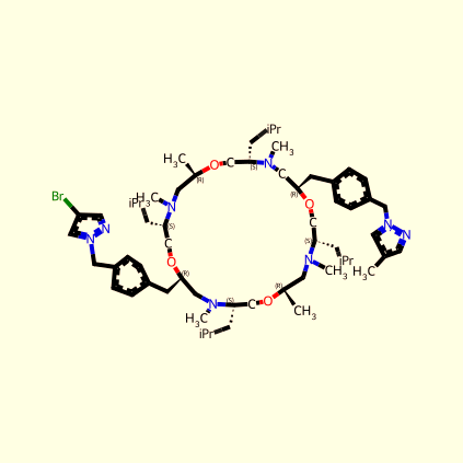 Cc1cnn(Cc2ccc(C[C@@H]3CN(C)[C@@H](CC(C)C)CO[C@H](C)CN(C)[C@@H](CC(C)C)CO[C@H](Cc4ccc(Cn5cc(Br)cn5)cc4)CN(C)[C@@H](CC(C)C)CO[C@H](C)CN(C)[C@@H](CC(C)C)CO3)cc2)c1